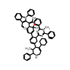 C=Cc1c(C2=C(C)OC3(C)C=C(C4=CC=C(C5C(C6CC=CCC6)=CCNC(c6ccccc6)C5C)CC4C4=NC(c5ccccc5)N(C)C(c5c#cccc5)=N4)C=CC23)n(-c2ccccc2)c2ccccc12